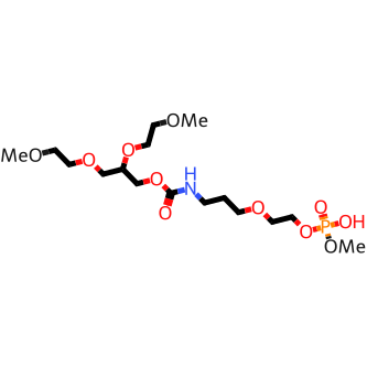 COCCOCC(COC(=O)NCCCOCCOP(=O)(O)OC)OCCOC